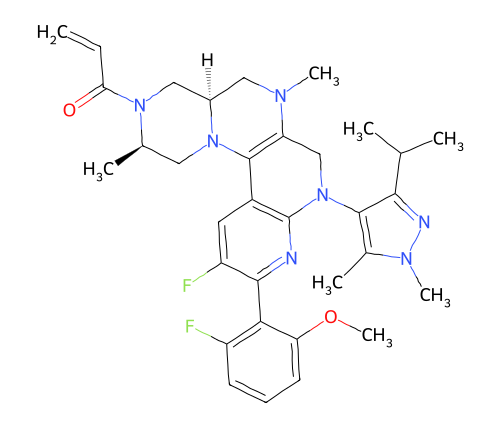 C=CC(=O)N1C[C@H]2CN(C)C3=C(c4cc(F)c(-c5c(F)cccc5OC)nc4N(c4c(C(C)C)nn(C)c4C)C3)N2C[C@H]1C